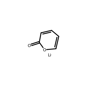 O=c1cccco1.[Li]